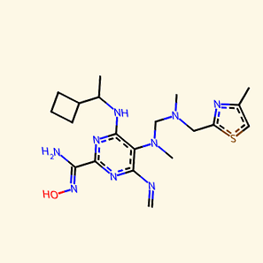 C=Nc1nc(/C(N)=N/O)nc(NC(C)C2CCC2)c1N(C)CN(C)Cc1nc(C)cs1